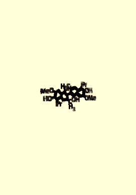 COc1cc2c(O)c(-c3c(C)cc4c(C(C)C)c(O)c(OC)cc4c3O)c(C)cc2c(C(C)C)c1O